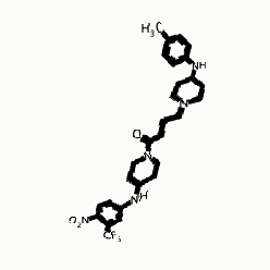 Cc1ccc(NC2CCN(CCCC(=O)N3CCC(Nc4ccc([N+](=O)[O-])c(C(F)(F)F)c4)CC3)CC2)cc1